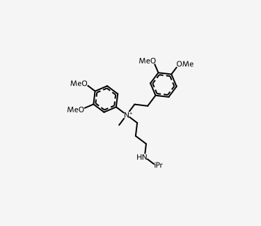 COc1ccc(CC[N+](C)(CCCNC(C)C)c2ccc(OC)c(OC)c2)cc1OC